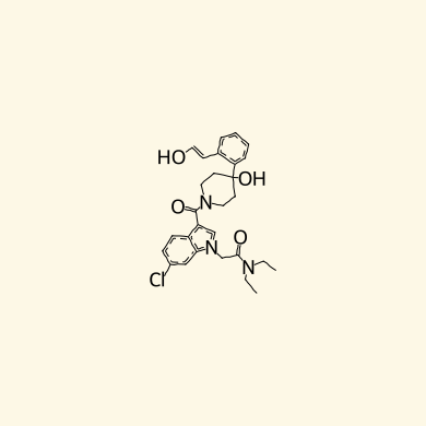 CCN(CC)C(=O)Cn1cc(C(=O)N2CCC(O)(c3ccccc3/C=C/O)CC2)c2ccc(Cl)cc21